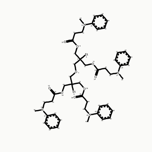 CCC(COCC(CC)(COC(=O)CCN(C)c1ccccc1)COC(=O)CCN(C)c1ccccc1)(COC(=O)CCN(C)c1ccccc1)COC(=O)CCN(C)c1ccccc1